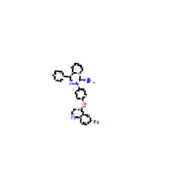 NC1c2ccccc2C(c2ccccc2)=NN1c1ccc(Oc2ccnc3ccc(Br)cc23)cc1